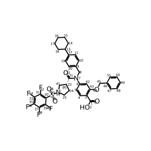 O=C(O)c1ccc(N(Cc2ccc(C3CCCCC3)cc2)C(=O)[C@@H]2CCN(S(=O)(=O)c3c(F)c(F)c(F)c(F)c3F)C2)cc1OCc1ccccc1